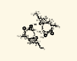 NC(=O)CCC1NC(=O)C(Cc2ccccc2)NC(=O)C(Cc2ccc(O)cc2)NC(=O)C(N)CSSCC(C(=O)N2CCCC2C(=O)NC(CCCN=C(N)N)C(=O)NCC(N)=O)NC(=O)C(CC(N)=O)NC1=O.NCCCCC(NC(=O)C1CCCN1C(=O)C1CSSCC(N)C(=O)NC(Cc2ccc(O)cc2)C(=O)NC(Cc2ccccc2)C(=O)NC(CCC(N)=O)C(=O)NC(CC(N)=O)C(=O)N1)C(=O)NCC(N)=O